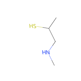 CNCC(C)S